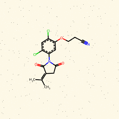 CC(C)=C1CC(=O)N(c2cc(OCCC#N)c(Cl)cc2Cl)C1=O